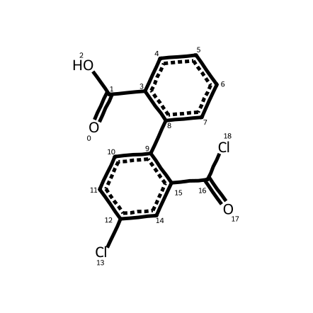 O=C(O)c1ccccc1-c1ccc(Cl)cc1C(=O)Cl